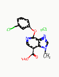 Cl.Cn1cnc2c(Oc3cccc(Cl)c3)ncc(C(=O)O)c21